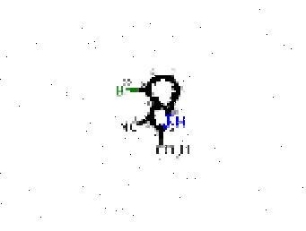 N#Cc1c(C(=O)O)[nH]c2cccc(Br)c12